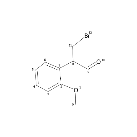 COc1ccccc1C(C=O)CBr